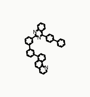 c1ccc(-c2ccc(-c3nc(-c4cccc(-c5cccc(-c6cccc7c6ccc6cccnc67)c5)c4)nc4ccccc34)cc2)cc1